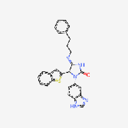 O=C1NC(=NCCCc2ccccc2)C(c2cc3ccccc3s2)N1c1ccc2[nH]cnc2c1